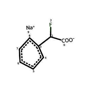 O=C([O-])C(F)c1ccccc1.[Na+]